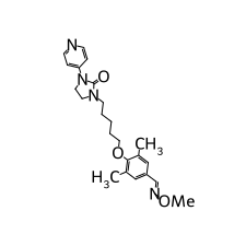 CON=Cc1cc(C)c(OCCCCCN2CCN(c3ccncc3)C2=O)c(C)c1